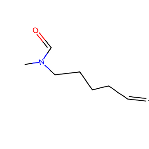 [CH]=CCCCCN(C)C=O